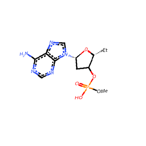 CC[C@H]1O[C@@H](n2cnc3c(N)ncnc32)CC1OP(=O)(O)OC